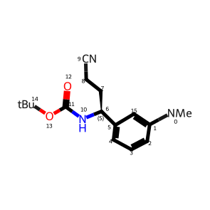 CNc1cccc([C@H](CCC#N)NC(=O)OC(C)(C)C)c1